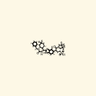 CCS(=O)(=O)CCC(C(=O)N1CC(F)(F)C(F)(F)C1)c1ccc2[nH]c(C(NC(=O)OCc3ccccc3)C3CCC(F)(F)CC3)nc2c1F